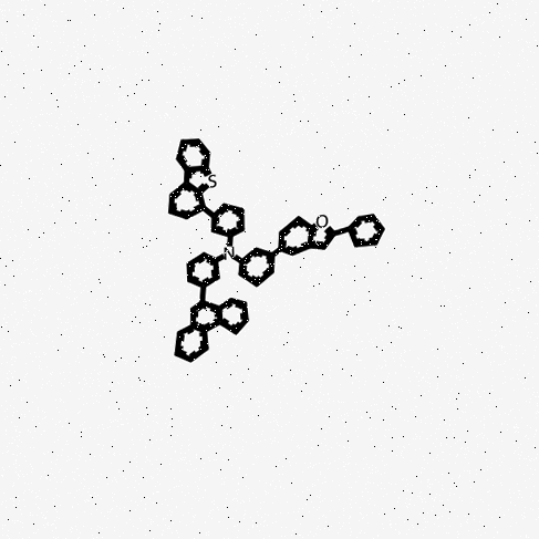 c1ccc(-c2cc3cc(-c4cccc(N(c5cccc(-c6cc7ccccc7c7ccccc67)c5)c5cccc(-c6cccc7c6sc6ccccc67)c5)c4)ccc3o2)cc1